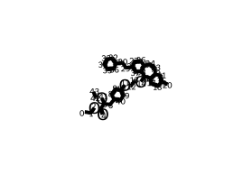 CCOC(=O)C(Cc1ccc(OCCOC2c3ccc(C)cc3C=Cc3ccc(CCc4ccccc4)cc32)cc1)OCC